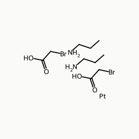 CCCN.CCCN.O=C(O)CBr.O=C(O)CBr.[Pt]